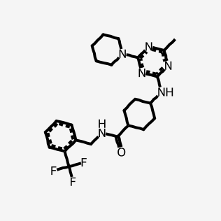 Cc1nc(NC2CCC(C(=O)NCc3ccccc3C(F)(F)F)CC2)nc(N2CCCCC2)n1